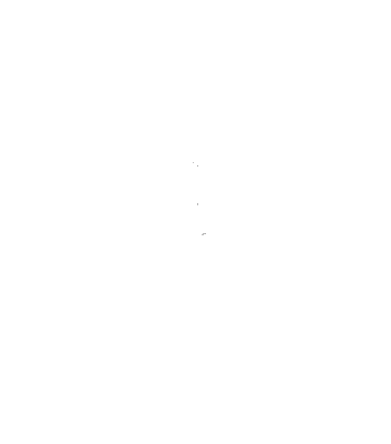 C=Cc1ccc2c(c1)c1cc(C=C)ccc1n2-c1ncccc1P(=O)(c1ccccc1)c1ccccc1